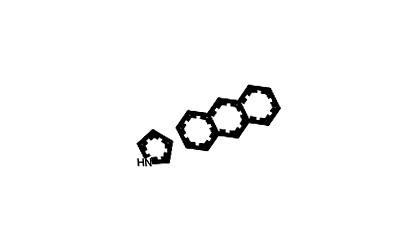 c1cc[nH]c1.c1ccc2cc3ccccc3cc2c1